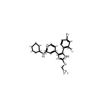 Fc1ccc(-c2[nH]c(SCC(F)(F)F)nc2-c2ccnc(NC3CCCCC3)c2)c(F)c1